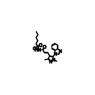 CCCCCS(=O)(=O)NC(=O)/C=C/c1c(C)nn(C)c1-n1cnc2ccccc21